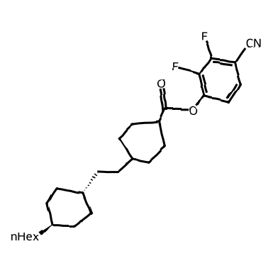 CCCCCC[C@H]1CC[C@H](CCC2CCC(C(=O)Oc3ccc(C#N)c(F)c3F)CC2)CC1